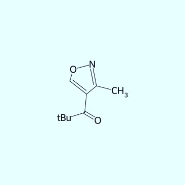 Cc1nocc1C(=O)C(C)(C)C